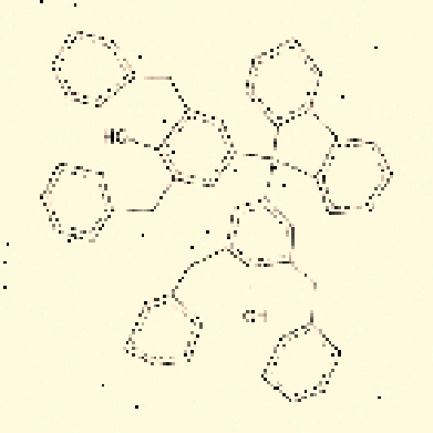 Oc1c(Cc2ccccc2)cc(C2(c3cc(Cc4ccccc4)c(O)c(Cc4ccccc4)c3)c3ccccc3-c3ccccc32)cc1Cc1ccccc1